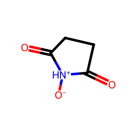 O=C1CCC(=O)[NH+]1[O-]